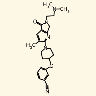 Cc1cc2c(nc1N1CCC(Oc3cccc(C#N)c3)CC1)CN(CCN(C)C)C2=O